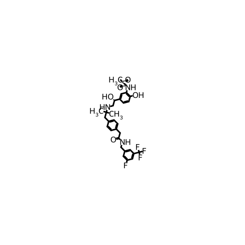 CC(C)(Cc1ccc(CC(=O)NCc2cc(F)cc(C(F)(F)F)c2)cc1)NC[C@H](O)c1ccc(O)c(NS(C)(=O)=O)c1